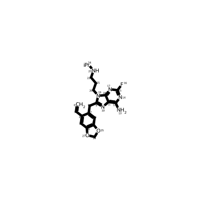 C=Cc1cc2c(cc1Cc1nc3c(N)nc(F)nc3n1CCCNC(C)C)OCO2